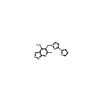 Cc1nc2nonc2c(N)c1Cn1ccc(-c2ccco2)n1